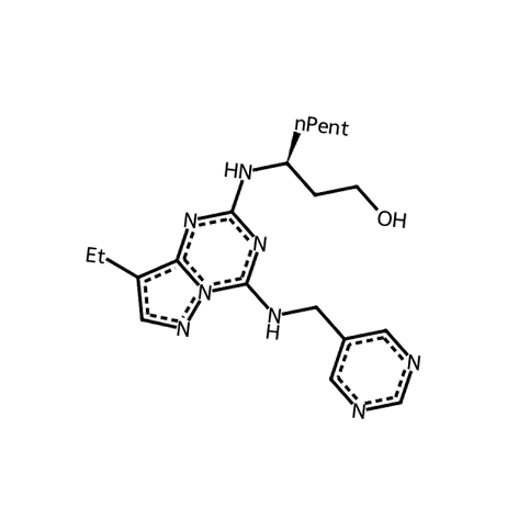 CCCCC[C@@H](CCO)Nc1nc(NCc2cncnc2)n2ncc(CC)c2n1